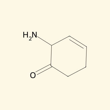 NC1C=CCCC1=O